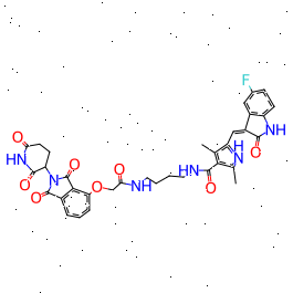 Cc1[nH]c(C=C2C(=O)Nc3ccc(F)cc32)c(C)c1C(=O)NCCCCNC(=O)COc1cccc2c1C(=O)N(C1CCC(=O)NC1=O)C2=O